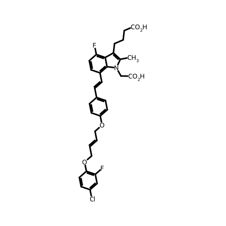 Cc1c(CCCC(=O)O)c2c(F)ccc(C=Cc3ccc(OC/C=C/COc4ccc(Cl)cc4F)cc3)c2n1CC(=O)O